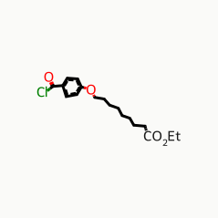 CCOC(=O)CCCCCCCCOc1ccc(C(=O)Cl)cc1